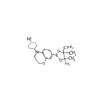 CC1(C)OB(c2ccc3c(c2)OCCN3C2CCC(O)CC2)OC1(C)C